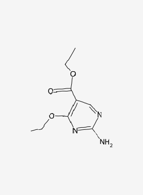 CCOC(=O)c1cnc(N)nc1OCC